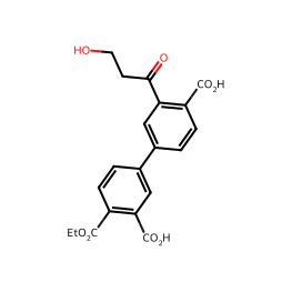 CCOC(=O)c1ccc(-c2ccc(C(=O)O)c(C(=O)CCO)c2)cc1C(=O)O